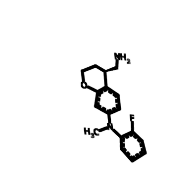 CN(c1ccc2c(c1)OCC[C@H]2CN)c1ccccc1F